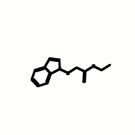 CCOC(=O)COn1c[c]c2ccccc21